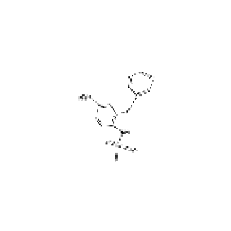 CS(=O)(=O)Nc1ccc([N+](=O)[O-])cc1Oc1ccccc1.[KH]